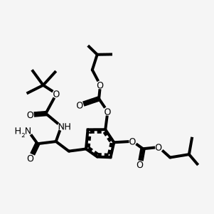 CC(C)COC(=O)Oc1ccc(CC(NC(=O)OC(C)(C)C)C(N)=O)cc1OC(=O)OCC(C)C